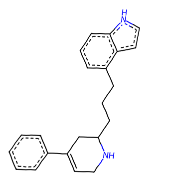 C1=C(c2ccccc2)CC(CCCc2cccc3[nH]ccc23)NC1